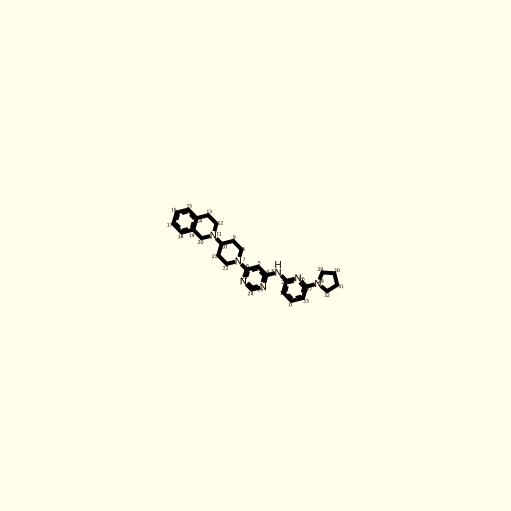 c1cc(Nc2cc(N3CCC(N4CCc5ccccc5C4)CC3)ncn2)nc(N2CCCC2)c1